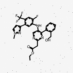 CCOC(=O)Cc1ncc(Nc2cc(-c3ccn(C)n3)c(C(F)(F)F)cc2F)c(-c2ccccc2CO)n1